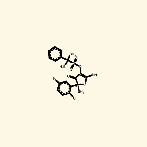 BC(B)(c1ccccc1)S(=O)(=O)OC1=C(N)O[C@](B)(c2cc(F)ccc2Cl)C1=O